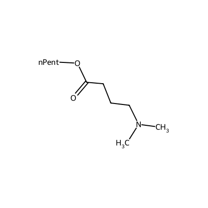 CCCCCOC(=O)CCCN(C)C